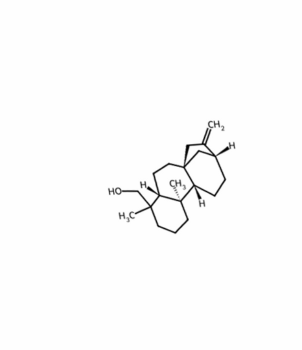 C=C1C[C@]23CC[C@H]4C(C)(CO)CCC[C@]4(C)[C@H]2CC[C@@H]1C3